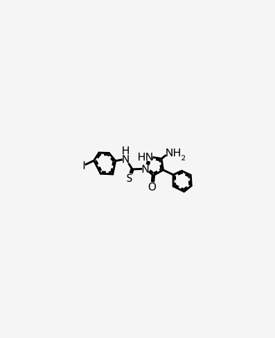 Nc1[nH]n(C(=S)Nc2ccc(I)cc2)c(=O)c1-c1ccccc1